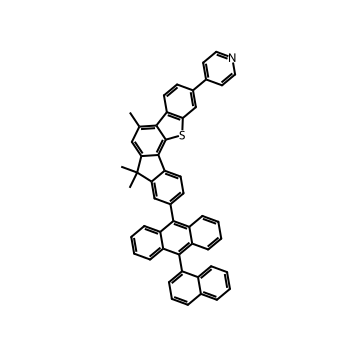 Cc1cc2c(c3sc4cc(-c5ccncc5)ccc4c13)-c1ccc(-c3c4ccccc4c(-c4cccc5ccccc45)c4ccccc34)cc1C2(C)C